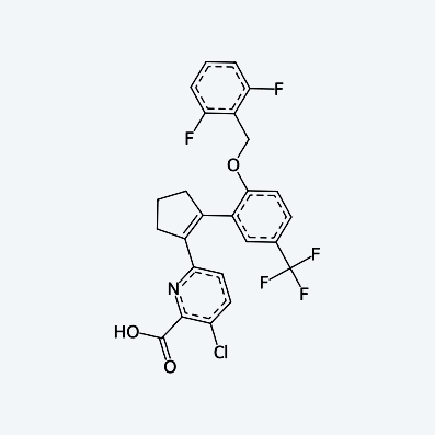 O=C(O)c1nc(C2=C(c3cc(C(F)(F)F)ccc3OCc3c(F)cccc3F)CCC2)ccc1Cl